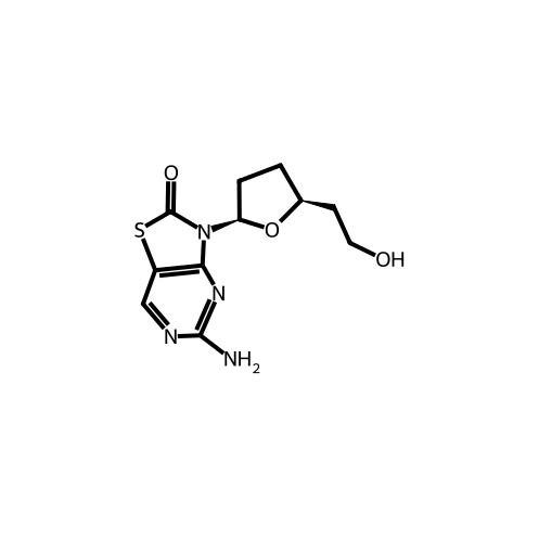 Nc1ncc2sc(=O)n([C@H]3CC[C@@H](CCO)O3)c2n1